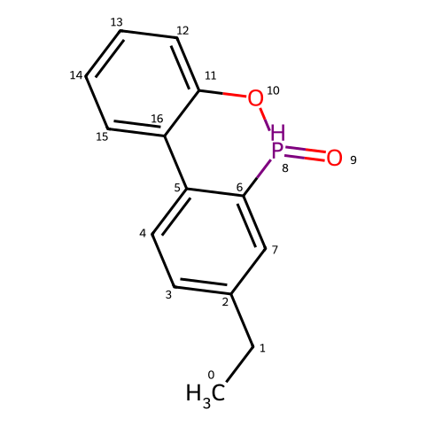 CCc1ccc2c(c1)[PH](=O)Oc1ccccc1-2